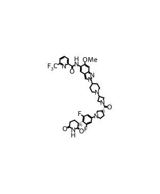 COc1cc2nn(C3CCN(C4CN(C(=O)[C@@H]5CCN(c6cc(F)c([C@H]7CCC(=O)NC7=O)c(F)c6)C5)C4)CC3)cc2cc1NC(=O)c1cccc(C(F)(F)F)n1